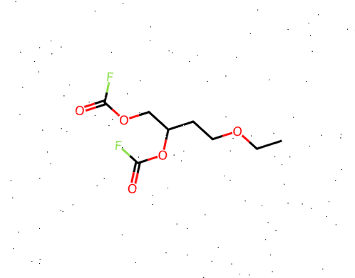 CCOCCC(COC(=O)F)OC(=O)F